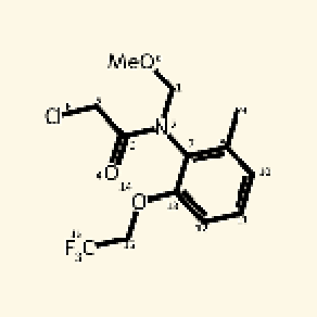 COCN(C(=O)CCl)c1c(C)cccc1OCC(F)(F)F